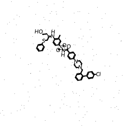 Cc1cc(S(=O)(=O)NC(=O)c2ccc(N3CCN(Cc4ccccc4-c4ccc(Cl)cc4)CC3)cc2)ccc1N[C@H](CCO)CSc1ccccc1